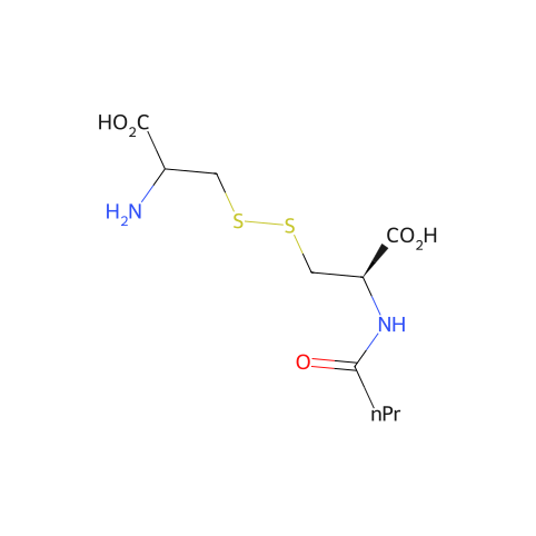 CCCC(=O)N[C@@H](CSSCC(N)C(=O)O)C(=O)O